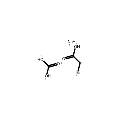 O=C(O)CBr.O=C(O)O.[NaH]